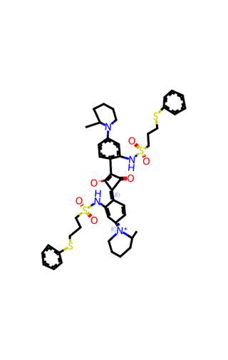 CC1CCCCN1c1ccc(C2=C([O-])/C(=C3C=C/C(=[N+]4/CCCCC4C)C=C/3NS(=O)(=O)CCCSc3ccccc3)C2=O)c(NS(=O)(=O)CCCSc2ccccc2)c1